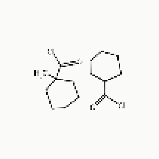 CC1(C(=O)Cl)CCCCC1.O=C(Cl)C1CCCCC1